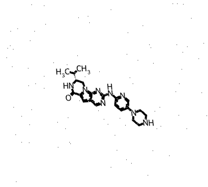 CC(C)[C@@H]1Cn2c(cc3cnc(Nc4ccc(N5CCNCC5)cn4)nc32)C(=O)N1